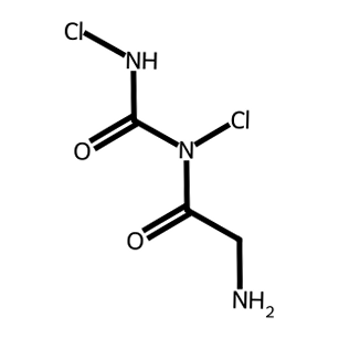 NCC(=O)N(Cl)C(=O)NCl